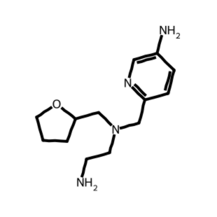 NCCN(Cc1ccc(N)cn1)CC1CCCO1